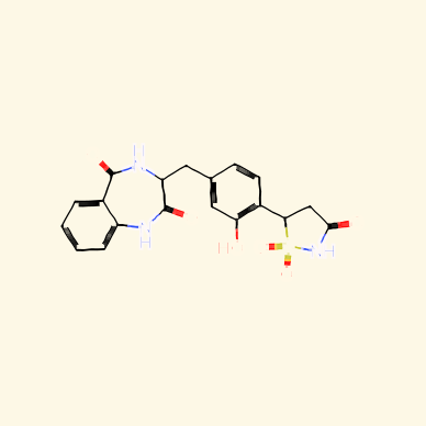 O=C1CC(c2ccc(CC3NC(=O)c4ccccc4NC3=O)cc2O)S(=O)(=O)N1